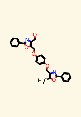 Cc1oc(-c2ccccc2)nc1COc1ccc(OCc2oc(-c3ccccc3)nc2C=O)cc1